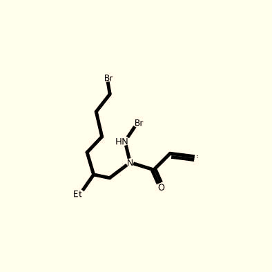 [C]=CC(=O)N(CC(CC)CCCCBr)NBr